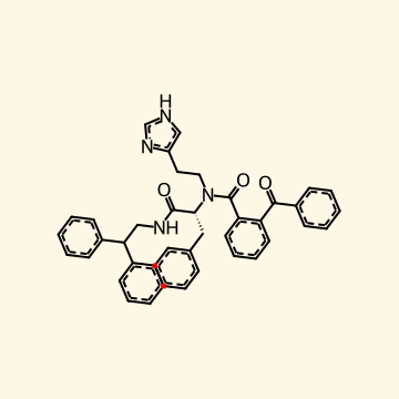 O=C(c1ccccc1)c1ccccc1C(=O)N(CCc1c[nH]cn1)[C@H](Cc1ccccc1)C(=O)NCC(c1ccccc1)c1ccccc1